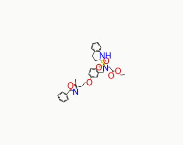 CCOC(=O)CN(Cc1cccc(OCCc2nc(-c3ccccc3)oc2C)c1)S(=O)(=O)C1CCc2ccccc2N1